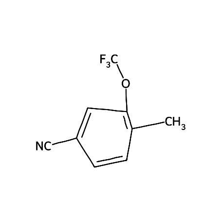 Cc1ccc(C#N)cc1OC(F)(F)F